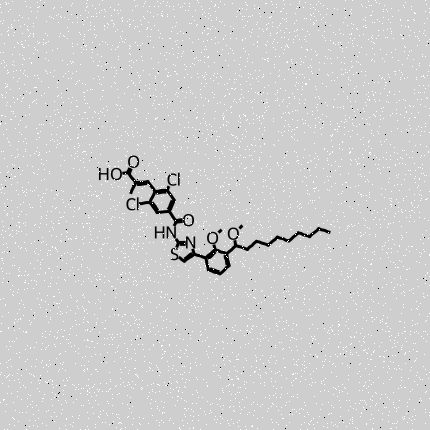 CCCCCCCCCC(OC)c1cccc(-c2csc(NC(=O)c3cc(Cl)c(C=C(C)C(=O)O)c(Cl)c3)n2)c1OC